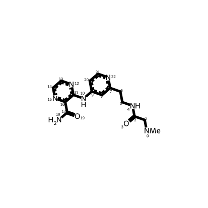 CNCC(=O)NCCc1cc(Nc2nccnc2C(N)=O)ccn1